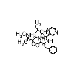 CNN(C)C(=O)[C@H](CC(C)C)NC(=O)[C@H](Cc1ccccc1)NC(=O)c1cnccn1